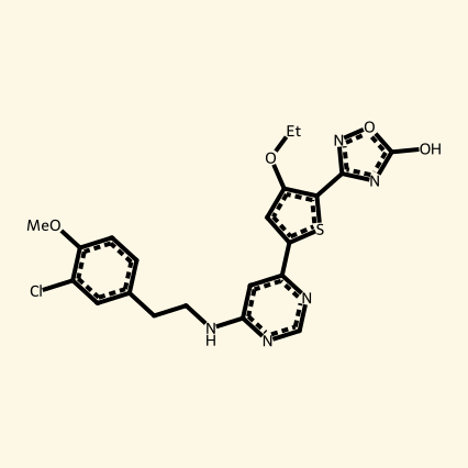 CCOc1cc(-c2cc(NCCc3ccc(OC)c(Cl)c3)ncn2)sc1-c1noc(O)n1